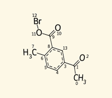 CC(=O)c1ccc(C)c(C(=O)OBr)c1